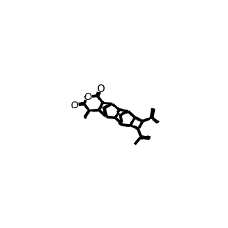 C=C(C)C1C(C(=C)C)C2C3CC(C4C5CC(C6C(C)C(=O)OC(=O)C56)C34)C12